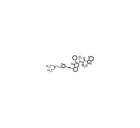 CCN(CC)CCn1cc(C#Cc2cccc3cc([C@H](C)NC(=O)c4c(N)nn5cccnc45)n(-c4ccccc4)c(=O)c23)cn1